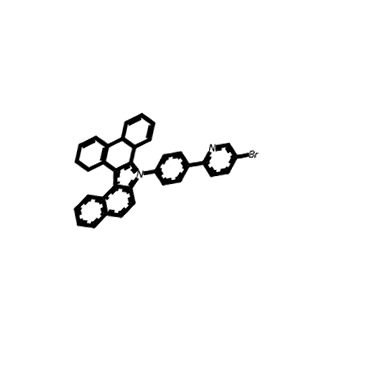 Brc1ccc(-c2ccc(-n3c4c(c5c6ccccc6ccc53)C3=C(C=CCC3)C3C=CC=CC43)cc2)nc1